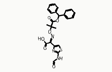 CC(C)(ON=C(C(=O)O)c1csc(NC=O)n1)C(=O)OC(c1ccccc1)c1ccccc1